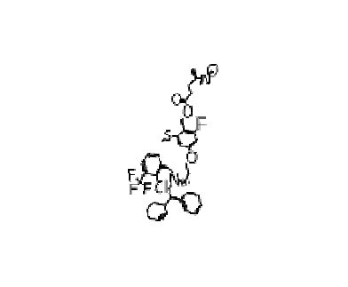 C=C(CCC(=O)OCc1c(F)cc(OCC[C@@H](C)N(Cc2cccc(C(F)(F)F)c2Cl)CC(C2=CCCC=C2)c2ccccc2)cc1SC)N=O